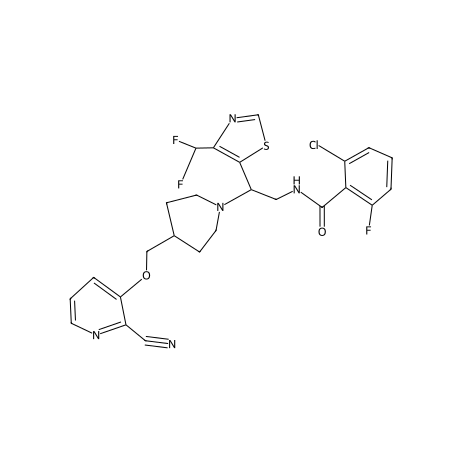 N#Cc1ncccc1OCC1CCN(C(CNC(=O)c2c(F)cccc2Cl)c2scnc2C(F)F)CC1